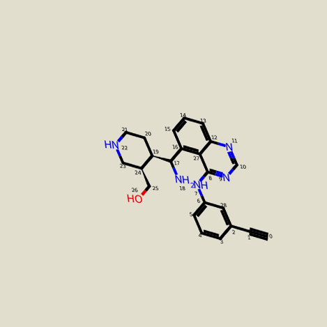 C#Cc1cccc(Nc2ncnc3cccc(C(N)[C@@H]4CCNC[C@@H]4CO)c23)c1